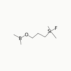 CB(C)OCCC[Si](C)(C)F